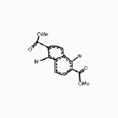 COC(=O)c1ccc2c(Br)c(C(=O)OC)ccc2c1Br